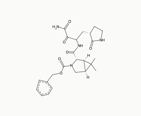 CC1(C)[C@@H]2[C@@H](C(=O)NC(C[C@@H]3CCNC3=O)C(=O)C(N)=O)N(C(=O)OCc3ccccc3)C[C@@H]21